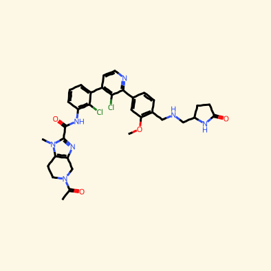 COc1cc(-c2nccc(-c3cccc(NC(=O)c4nc5c(n4C)CCN(C(C)=O)C5)c3Cl)c2Cl)ccc1CNCC1CCC(=O)N1